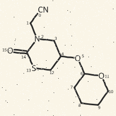 N#CCN1CC(OC2CCCCO2)CSC1=O